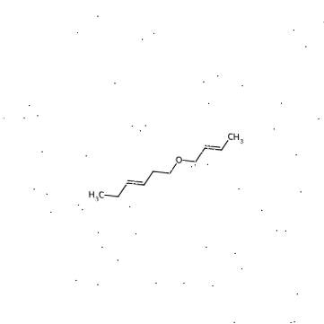 CC=CCOCCC=CCC